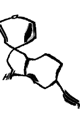 N#CC1C=C2NCC3(C=COC=C3)C2CC1